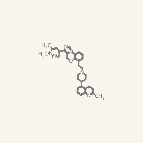 CC(=CC(=O)c1ncn2c1COc1c(CCN3CCC(c4cccc5nc(C)ccc45)CC3)cccc1-2)N(C)C